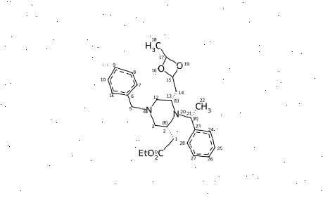 CCOC(=O)C[C@@H]1CN(Cc2ccccc2)C[C@H](CC2OC(C)O2)N1[C@H](C)c1ccccc1